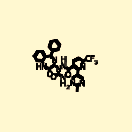 Cc1ncc(-c2nc(C(F)(F)F)ccc2C(=O)NN(C(N)=O)[C@@H]2N=C(c3ccccc3)c3ccccc3NC2=O)cn1